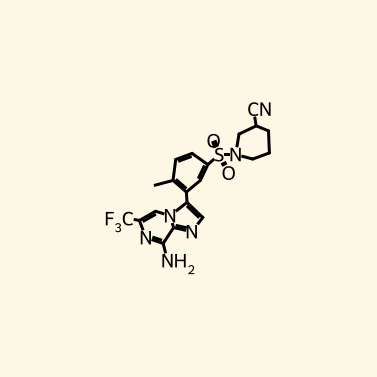 Cc1ccc(S(=O)(=O)N2CCCC(C#N)C2)cc1-c1cnc2c(N)nc(C(F)(F)F)cn12